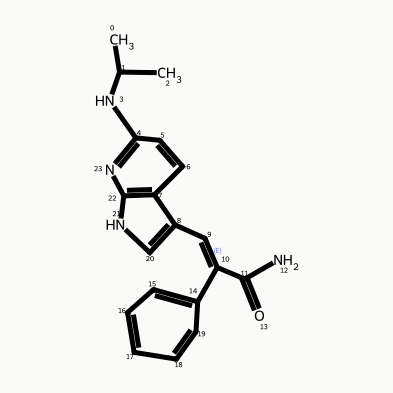 CC(C)Nc1ccc2c(/C=C(/C(N)=O)c3ccccc3)c[nH]c2n1